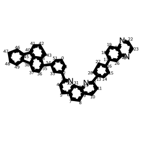 c1cc(-c2ccc3ccc4ccc(-c5ccc(-c6ccc7nccnc7c6)cc5)nc4c3n2)cc(-c2ccc3c4c(cccc24)-c2ccccc2-3)c1